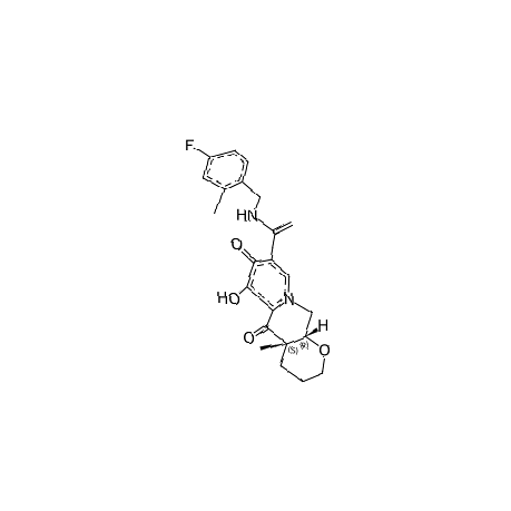 C=C(NCc1ccc(F)cc1C)c1cn2c(c(O)c1=O)C(=O)[C@@]1(C)CCCO[C@H]1C2